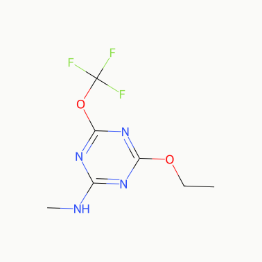 CCOc1nc(NC)nc(OC(F)(F)F)n1